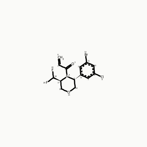 C=CC(=O)N1[C@H](c2cc(Cl)cc(Br)c2)COC[C@H]1C(F)F